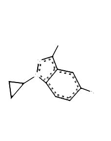 CCCc1nn(C2CC2)c2ccc([N+](=O)[O-])cc12